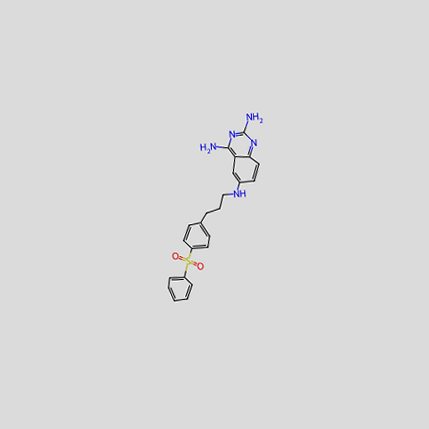 Nc1nc(N)c2cc(NCCCc3ccc(S(=O)(=O)c4ccccc4)cc3)ccc2n1